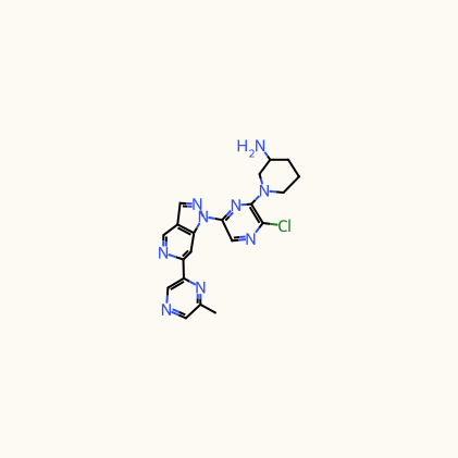 Cc1cncc(-c2cc3c(cn2)cnn3-c2cnc(Cl)c(N3CCCC(N)C3)n2)n1